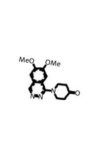 COc1cc2cnnc(N3CCC(=O)CC3)c2cc1OC